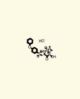 CN(C)S(=O)(=O)N[C@@H](CS(=O)(=O)c1ccc(Oc2ccccc2)cc1)C(=O)NO.Cl